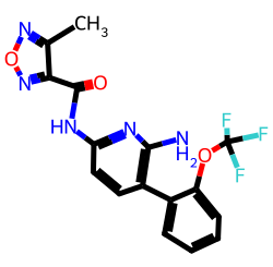 Cc1nonc1C(=O)Nc1ccc(-c2ccccc2OC(F)(F)F)c(N)n1